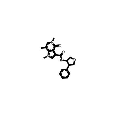 Cc1cn(C)c(=O)c2c(C(=O)NC3COCC3c3ccccc3)cn(C)c12